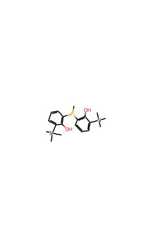 CP(c1cccc([Si](C)(C)C)c1O)c1cccc([Si](C)(C)C)c1O